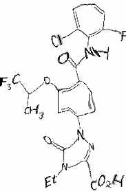 CCn1c(C(=O)O)nn(-c2ccc(C(=O)Nc3c(F)cccc3Cl)c(OC(C)C(F)(F)F)c2)c1=O